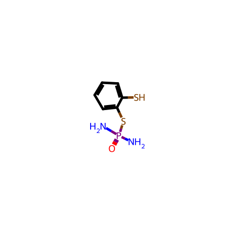 NP(N)(=O)Sc1ccccc1S